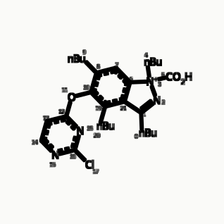 CCCCC1=N[N+](CCCC)(C(=O)O)c2cc(CCCC)c(Oc3ccnc(Cl)n3)c(CCCC)c21